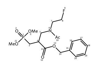 COP(=O)(CC(CN(CCF)C(C)=O)C(=O)OCc1ccccc1)OC